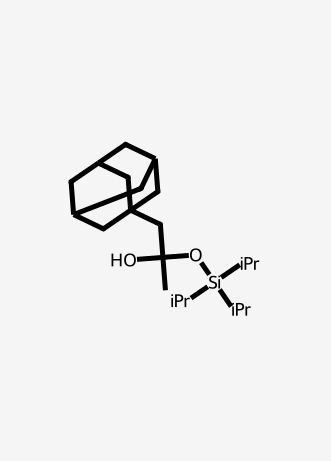 CC(C)[Si](OC(C)(O)CC12CC3CC(CC(C3)C1)C2)(C(C)C)C(C)C